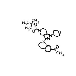 C[S+]([O-])c1ccc2c(c1)N(c1nn(C3CCOCC3)c3c1CN(C(=O)OC(C)(C)C)CC3)CCC2